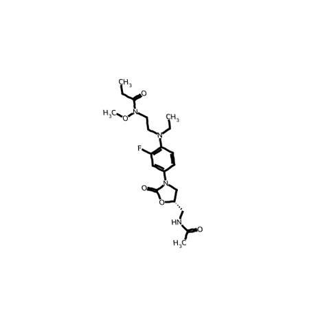 CCC(=O)N(CCN(CC)c1ccc(N2C[C@H](CNC(C)=O)OC2=O)cc1F)OC